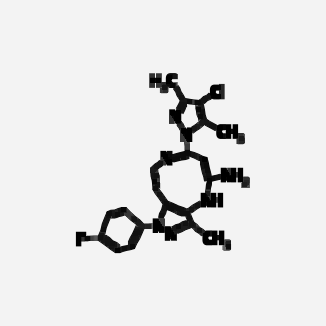 Cc1nn(-c2cc(N)[nH]c3c(C)nn(-c4ccc(F)cc4)c3ccn2)c(C)c1Cl